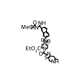 CCOC(=O)C1CN(S(=O)(=O)c2ccc3ccc(C(=N)NC(=O)OC)cc3c2)CCN1C(=O)c1nc2c(s1)CNC(C)C2